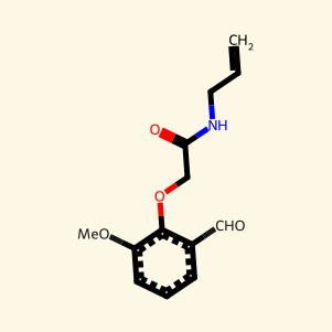 C=CCNC(=O)COc1c(C=O)cccc1OC